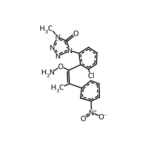 C/C(=C(\ON)c1c(Cl)cccc1-n1nnn(C)c1=O)c1cccc([N+](=O)[O-])c1